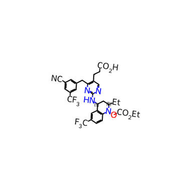 CCOC(=O)ON1c2ccc(C(F)(F)F)cc2[C@@H](Nc2ncc(CCC(=O)O)c(Cc3cc(C#N)cc(C(F)(F)F)c3)n2)C[C@H]1CC